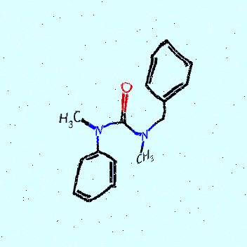 CN(Cc1ccccc1)C(=O)N(C)c1ccccc1